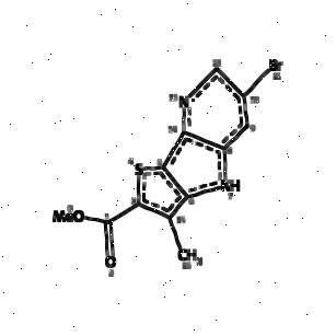 COC(=O)c1sc2c([nH]c3cc(Br)cnc32)c1C